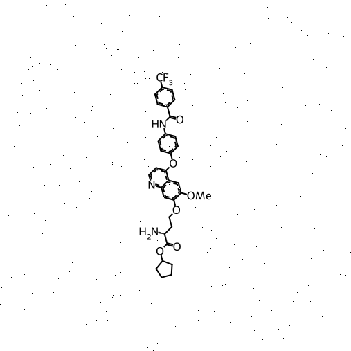 COc1cc2c(Oc3ccc(NC(=O)c4ccc(C(F)(F)F)cc4)cc3)ccnc2cc1OCC[C@H](N)C(=O)OC1CCCC1